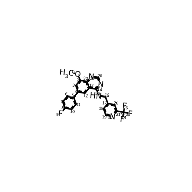 COc1cc(-c2ccc(F)cc2)cc2c(NCc3ccnc(C(F)(F)F)c3)ncnc12